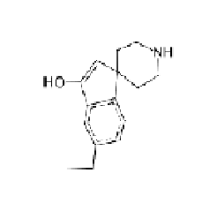 CCc1ccc2c(c1)C(O)=CC21CCNCC1